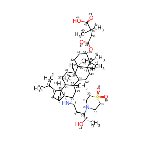 CC(C)[C@@H]1CC[C@]2(NCC[C@H]([C@H](C)O)N3CCS(=O)(=O)CC3)CC[C@]3(C)[C@H](CC[C@@H]4[C@@]5(C)CC[C@H](OC(=O)CC(C)(C)C(=O)O)C(C)(C)[C@@H]5CC[C@]43C)[C@@H]12